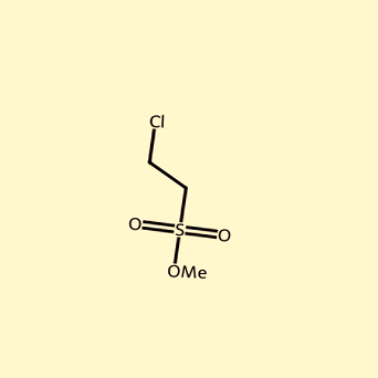 COS(=O)(=O)CCCl